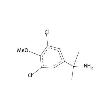 COc1c(Cl)cc(C(C)(C)N)cc1Cl